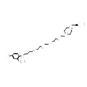 C#CCN1CCN(CCOCCOCCOCCOCCCCNc2ccc(Cl)cc2N)CC1